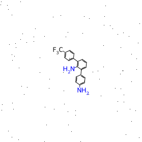 Nc1ccc(-c2cccc(-c3ccc(C(F)(F)F)cc3)c2N)cc1